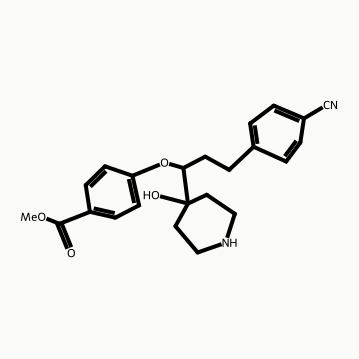 COC(=O)c1ccc(OC(CCc2ccc(C#N)cc2)C2(O)CCNCC2)cc1